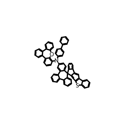 c1ccc(-c2ccc(N(c3ccc4c(c3)-c3ccccc3-c3ccccc3C43c4ccccc4-c4cc5c(cc43)sc3ccccc35)c3cccc4c3Oc3ccccc3-c3ccccc3-4)cc2)cc1